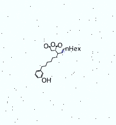 CCCCCC/C=C/C(CCCCCCc1cccc(O)c1)C1CC(=O)OC1=O